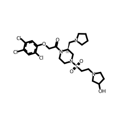 O=C(COc1cc(Cl)c(Cl)cc1Cl)N1CCN(S(=O)(=O)CCN2CCC(O)C2)C[C@@H]1CN1CCCC1